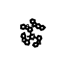 Cc1c(-c2cc(-n3c4ccccc4c4cc5ccccc5cc43)c3oc4ccccc4c3c2)nc(-c2cccc3sc4ccccc4c23)nc1-c1cccc2sc3ccccc3c12